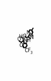 Cc1cnc2c(C(O)NC3(c4ccc(C(F)(F)F)cc4F)CCOCC3=O)cnn2c1